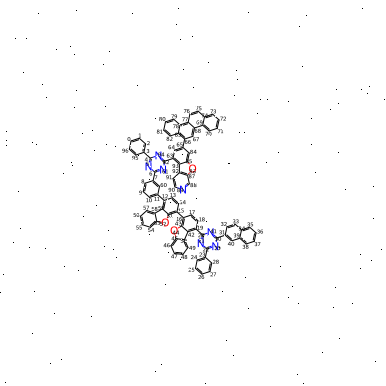 c1ccc(-c2nc(-c3cccc(-c4ccc(-c5ccc(-c6nc(-c7ccccc7)nc(-c7ccc8ccccc8c7)n6)c6c5oc5ccccc56)c5oc6ccccc6c45)c3)nc(-c3cc(-c4cc5c6ccccc6ccc5c5ccccc45)cc4oc5cnccc5c34)n2)cc1